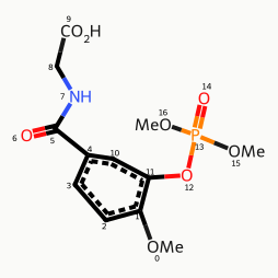 COc1ccc(C(=O)NCC(=O)O)cc1OP(=O)(OC)OC